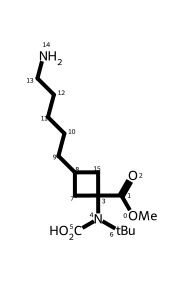 COC(=O)C1(N(C(=O)O)C(C)(C)C)CC(CCCCCN)C1